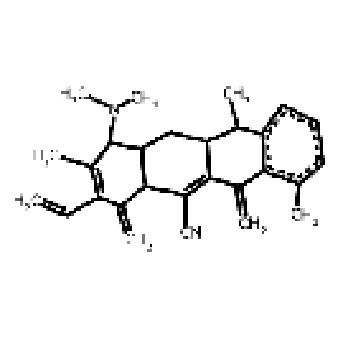 C=CC1=C(C)C(N(C)C)C2CC3C(=C(C#N)C2C1=C)C(=C)c1c(C)cccc1C3C